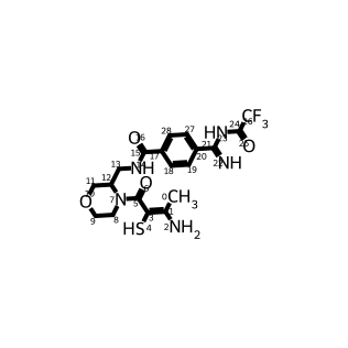 C/C(N)=C(/S)C(=O)N1CCOCC1CNC(=O)c1ccc(C(=N)NC(=O)C(F)(F)F)cc1